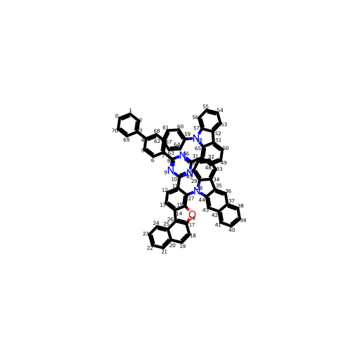 c1ccc(-c2ccc(-c3nc(-c4ccc5c(oc6ccc7ccccc7c65)c4-n4c5ccccc5c5cc6ccccc6cc54)nc(-c4cccc5c6ccccc6n(-c6ccccc6)c45)n3)cc2)cc1